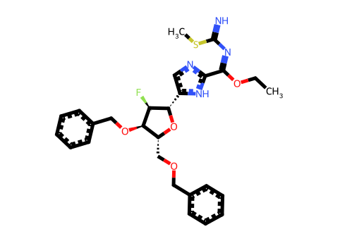 CCO/C(=N/C(=N)SC)c1ncc([C@@H]2O[C@H](COCc3ccccc3)[C@@H](OCc3ccccc3)[C@H]2F)[nH]1